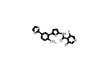 Cc1ccc(-c2nccs2)cc1-c1ccc(NC(=O)c2c(F)cncc2F)s1